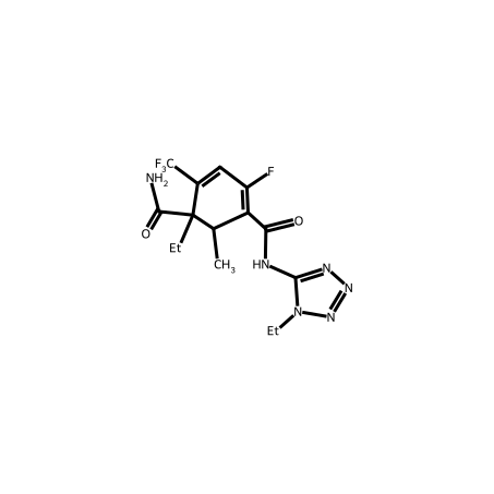 CCn1nnnc1NC(=O)C1=C(F)C=C(C(F)(F)F)C(CC)(C(N)=O)C1C